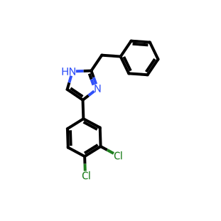 Clc1ccc(-c2c[nH]c(Cc3ccccc3)n2)cc1Cl